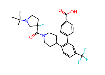 CC(C)(C)N1CC[C@](F)(C(=O)N2CCC(c3ccc(C(F)(F)F)cc3-c3ccc(C(=O)O)cc3)CC2)C1